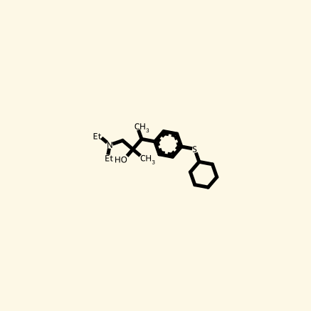 CCN(CC)CC(C)(O)C(C)c1ccc(SC2CCCCC2)cc1